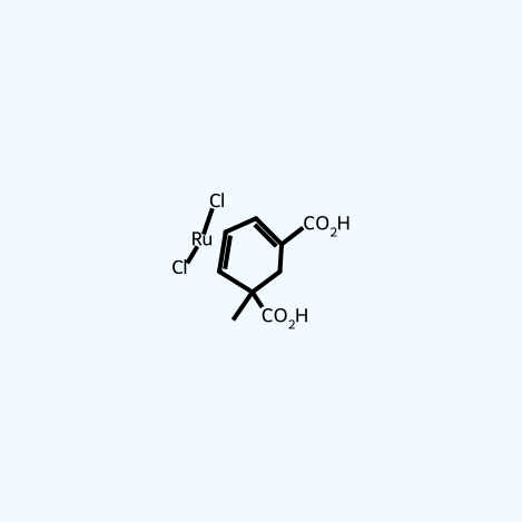 CC1(C(=O)O)C=CC=C(C(=O)O)C1.[Cl][Ru][Cl]